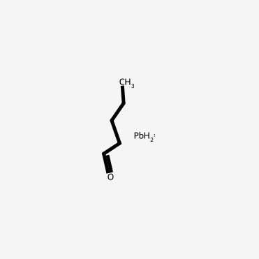 CCCCC=O.[PbH2]